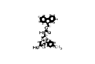 Cc1ccc(S(=O)(=O)N(CCNC(=O)OCC2c3ccccc3-c3ccccc32)CC(=O)O)cc1